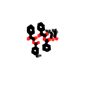 CCC[O-].CCC[O-].O=C(OC(=O)c1ccccc1)C(=O)c1ccccc1.O=C(OC(=O)c1ccccc1)C(=O)c1ccccc1.[Zr+2]